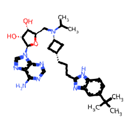 CC(C)N(C[C@H]1O[C@@H](n2cnc3c(N)ncnc32)[C@H](O)[C@@H]1O)[C@H]1C[C@@H](CCCc2nc3cc(C(C)(C)C)ccc3[nH]2)C1